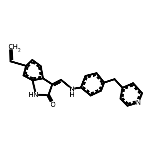 C=Cc1ccc2c(c1)NC(=O)C2=CNc1ccc(Cc2ccncc2)cc1